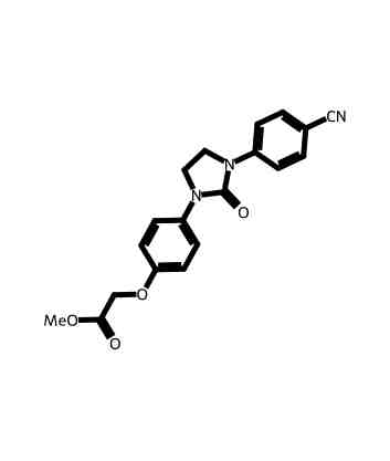 COC(=O)COc1ccc(N2CCN(c3ccc(C#N)cc3)C2=O)cc1